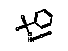 N=C=O.O=S(=O)(Cl)c1ccccc1